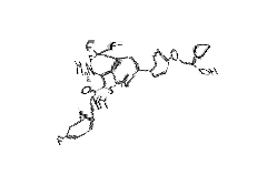 Nc1c(C(=O)Nc2ccc(F)cc2)sc2nc(-c3ccc(OCC(=O)O)cc3)cc(C(F)(F)F)c12